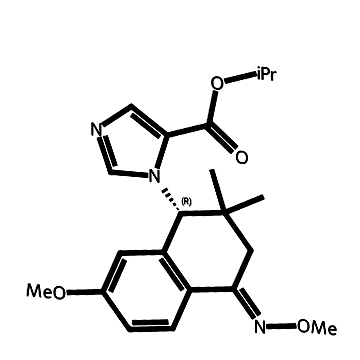 CON=C1CC(C)(C)[C@@H](n2cncc2C(=O)OC(C)C)c2cc(OC)ccc21